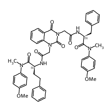 COc1ccc(N(C)C(=O)[C@H](CCc2ccccc2)NC(=O)Cn2c(=O)n(CC(=O)N[C@@H](Cc3ccccc3)C(=O)N(C)c3ccc(OC)cc3)c(=O)c3ccccc32)cc1